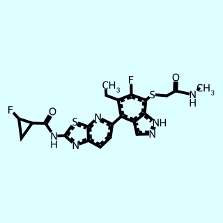 CCc1c(F)c(SCC(=O)NC)c2[nH]ncc2c1-c1ccc2nc(NC(=O)C3CC3F)sc2n1